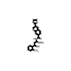 CN/C(=C\C(=N)c1ccccc1C)NC(=O)c1ccc2cc(-c3nccs3)cnc2c1